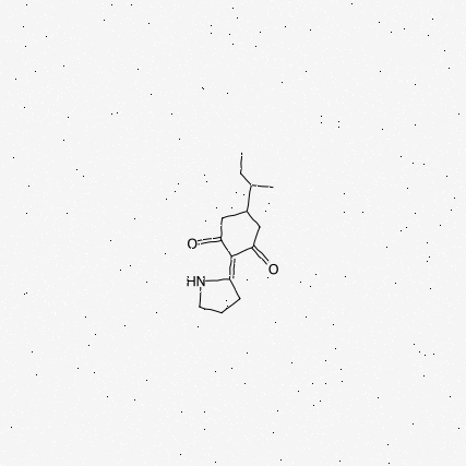 CCC(C)C1CC(=O)C(=C2CCCN2)C(=O)C1